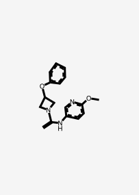 C=C(Nc1ccc(OC)nc1)N1CC(Oc2ccccc2)C1